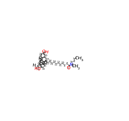 CCCCN(C)C(=O)CCCCCCCCCC[C@@H]1Cc2cc(O)ccc2[C@H]2CC[C@]3(C)[C@@H](O)CC[C@H]3[C@H]12